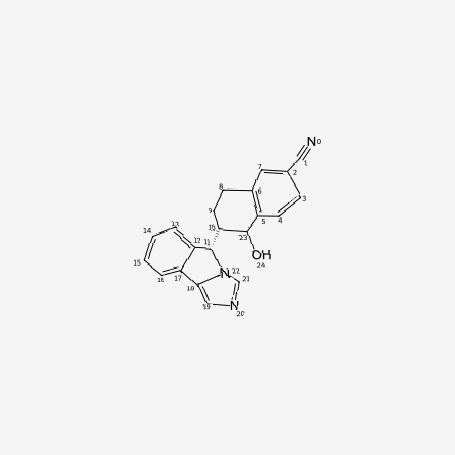 N#Cc1ccc2c(c1)CCC([C@H]1c3ccccc3-c3cncn31)C2O